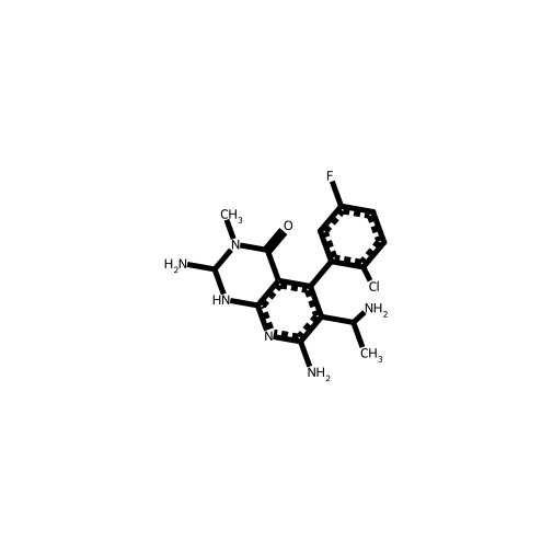 CC(N)c1c(N)nc2c(c1-c1cc(F)ccc1Cl)C(=O)N(C)C(N)N2